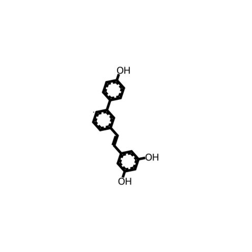 Oc1ccc(-c2[c]ccc(/C=C/c3cc(O)cc(O)c3)c2)cc1